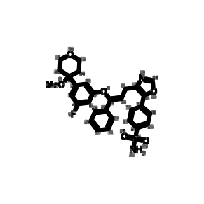 COC1(c2cc(F)cc(O/C(=C\Cc3ncoc3-c3ccc(S(N)(=O)=O)cc3)c3ccccc3)c2)CCOCC1